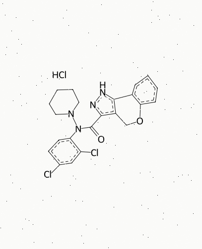 Cl.O=C(c1n[nH]c2c1COc1ccccc1-2)N(c1ccc(Cl)cc1Cl)N1CCCCC1